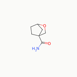 NC(=O)C12CCC(C1)OC2